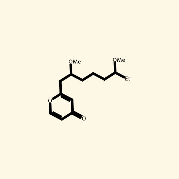 CCC(CCCC(Cc1cc(=O)cco1)OC)OC